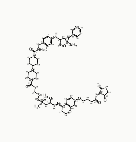 BC12OB=C(Nc3ccc(CNC(=O)N4CCC(N5CCN(C(=O)CCSSC(C)(C)CC(=O)N/N=C6\CCOc7cc(OCCCC(=O)ON8C(=O)CCC8=O)ccc76)CC5)CC4)c(F)c3)C1C2c1cccnc1